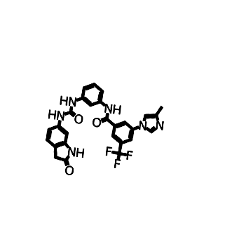 Cc1cn(-c2cc(C(=O)Nc3cccc(NC(=O)Nc4ccc5c(c4)NC(=O)C5)c3)cc(C(F)(F)F)c2)cn1